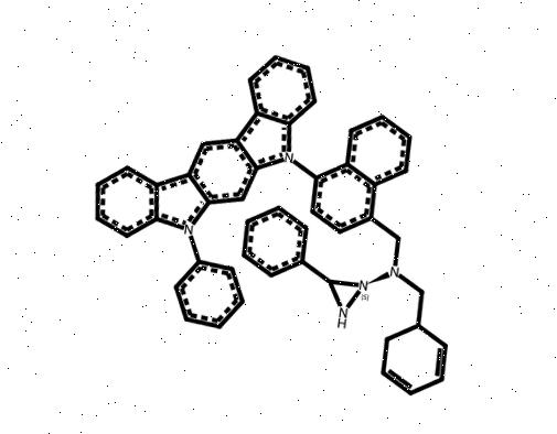 C1=CCC(CN(Cc2ccc(-n3c4ccccc4c4cc5c6ccccc6n(-c6ccccc6)c5cc43)c3ccccc23)[N@@]2NC2c2ccccc2)C=C1